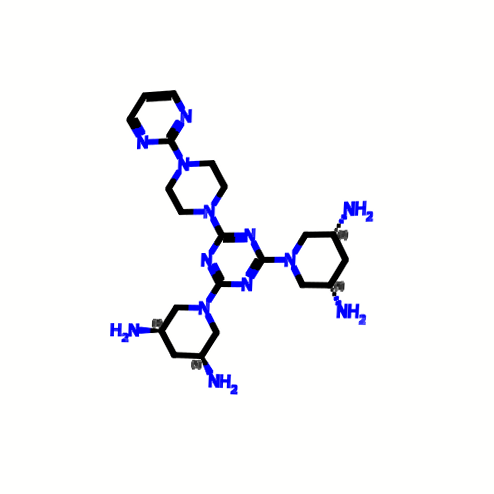 N[C@@H]1C[C@H](N)CN(c2nc(N3CCN(c4ncccn4)CC3)nc(N3C[C@H](N)C[C@H](N)C3)n2)C1